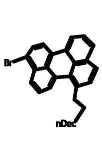 CCCCCCCCCCCCc1ccc2cccc3c4ccc(Br)c5cccc(c1c23)c54